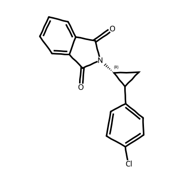 O=C1c2ccccc2C(=O)N1[C@@H]1CC1c1ccc(Cl)cc1